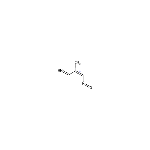 C/C(C=N)=C/N=O